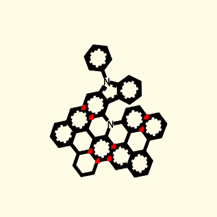 c1ccc(-c2cccc3cccc(-c4ccccc4N(c4ccccc4-c4cccc5cccc(C6CCCCC6)c45)c4cccc5c4c4ccccc4n5-c4ccccc4)c23)cc1